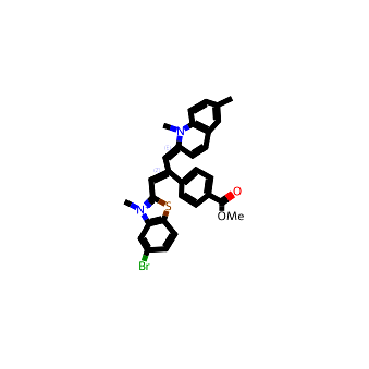 COC(=O)c1ccc(C(=C\c2sc3ccc(Br)cc3[n+]2C)/C=C2\C=Cc3cc(C)ccc3N2C)cc1